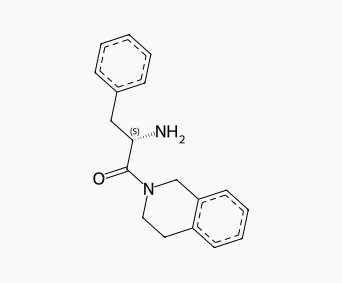 N[C@@H](Cc1ccccc1)C(=O)N1CCc2ccccc2C1